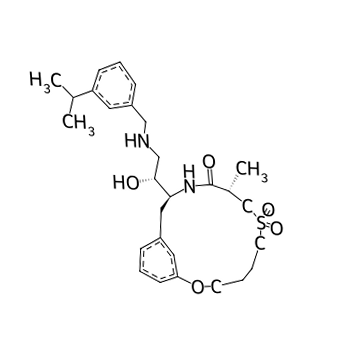 CC(C)c1cccc(CNC[C@@H](O)[C@@H]2Cc3cccc(c3)OCCCCS(=O)(=O)C[C@@H](C)C(=O)N2)c1